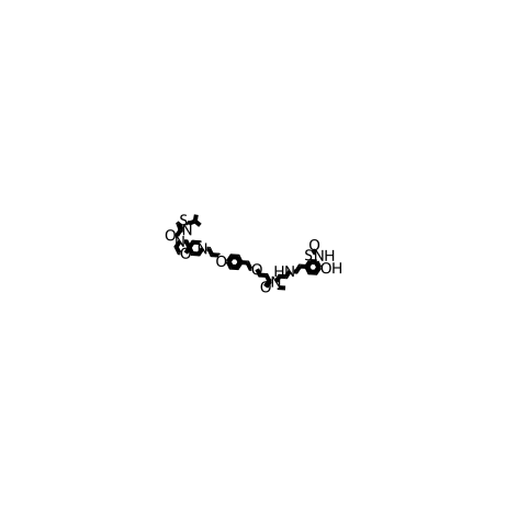 CCN(CCNCCc1ccc(O)c2[nH]c(=O)sc12)C(=O)CCOCCc1ccc(OCCCN2CCC3(CC2)CN(C(=O)c2csc(C(C)C)n2)CCO3)cc1